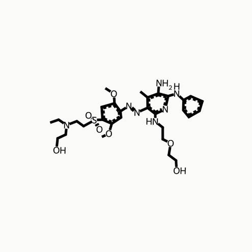 CCN(CCO)CCS(=O)(=O)c1cc(OC)c(/N=N/c2c(NCCOCCO)nc(Nc3ccccc3)c(N)c2C)cc1OC